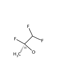 C[C@]([O])(F)C(F)F